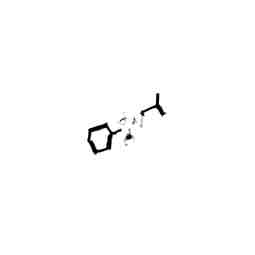 C=C(C)C=NS(=O)(=O)c1ccccc1